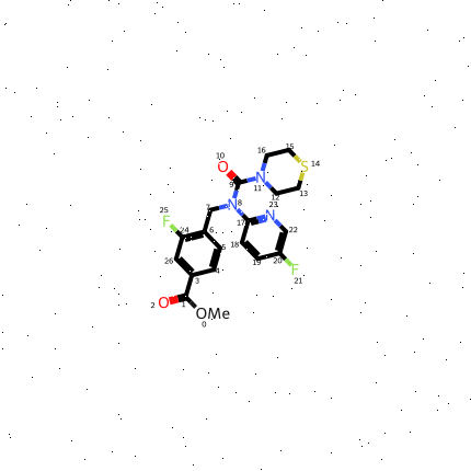 COC(=O)c1ccc(CN(C(=O)N2CCSCC2)c2ccc(F)cn2)c(F)c1